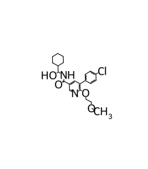 COCCOc1ncc(C(=O)NC(O)C2CCCCC2)cc1-c1ccc(Cl)cc1